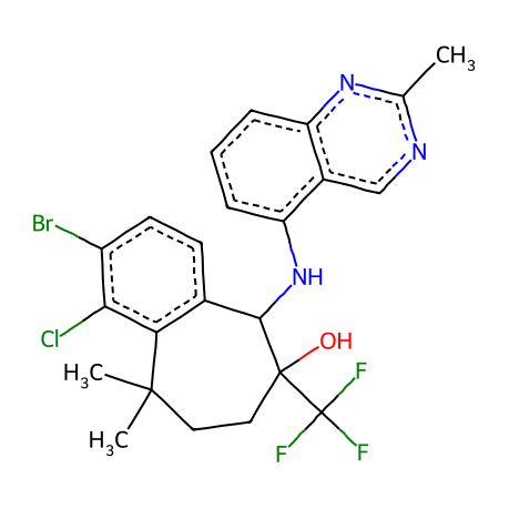 Cc1ncc2c(NC3c4ccc(Br)c(Cl)c4C(C)(C)CCC3(O)C(F)(F)F)cccc2n1